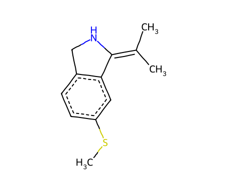 CSc1ccc2c(c1)C(=C(C)C)NC2